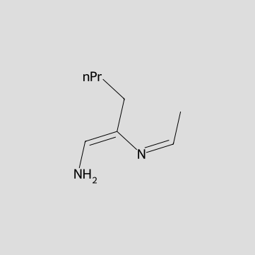 C/C=N\C(=C/N)CCCC